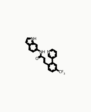 O=C(/C=C/c1ccc(C(F)(F)F)cc1-c1cccnc1)Nc1ccc2cc[nH]c2c1